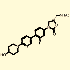 CC(=O)NC[C@H]1CN(c2ccc(-c3ccc(N4CCC(O)CC4)nc3)c(F)c2)C(=O)O1